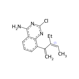 C=C(/C(=C\C)CC)c1cccc2c(N)nc(Cl)nc12